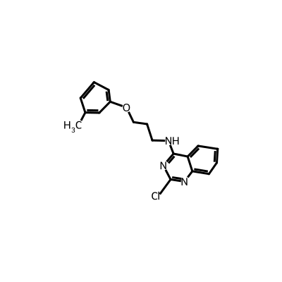 Cc1cccc(OCCCNc2nc(Cl)nc3ccccc23)c1